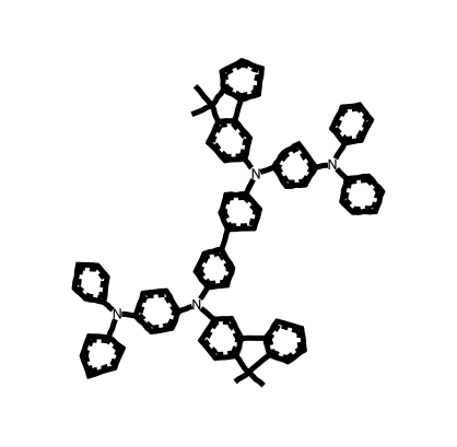 CC1(C)c2ccccc2-c2cc(N(c3ccc(-c4ccc(N(c5ccc(N(c6ccccc6)c6ccccc6)cc5)c5ccc6c(c5)-c5ccccc5C6(C)C)cc4)cc3)c3ccc(N(c4ccccc4)c4ccccc4)cc3)ccc21